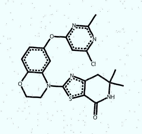 Cc1nc(Cl)cc(Oc2ccc3c(c2)N(c2nc4c(s2)C(=O)NC(C)(C)C4)CCO3)n1